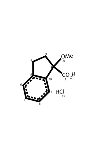 COC1(C(=O)O)CCc2ccccc21.Cl